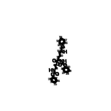 O=C(NCCOC(=O)C(CCCNCOc1ccccc1)NC(=O)Oc1ccccc1)Oc1ccccc1